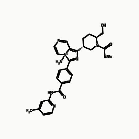 CNC(=O)N1C[C@H](C2=C3C=NC=C[N+]3(N)C(c3ccc(C(=O)Nc4cc(C(F)(F)F)ccn4)cc3)=N2)CC[C@H]1CO